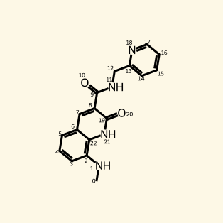 CNc1cccc2cc(C(=O)NCc3ccccn3)c(=O)[nH]c12